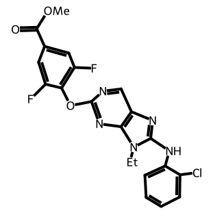 CCn1c(Nc2ccccc2Cl)nc2cnc(Oc3c(F)cc(C(=O)OC)cc3F)nc21